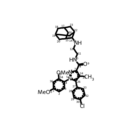 COc1ccc(-n2nc(C(=O)NCCNC3C4CC5CC(C4)CC3C5)c(C)c2-c2ccc(Cl)cc2)c(OC)c1